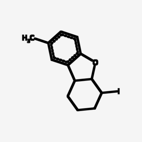 Cc1ccc2c(c1)C1CCCC(I)C1O2